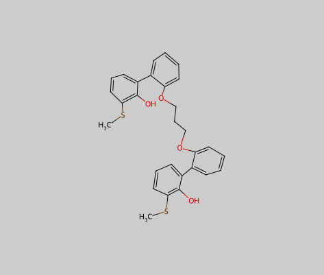 CSc1cccc(-c2ccccc2OCCCOc2ccccc2-c2cccc(SC)c2O)c1O